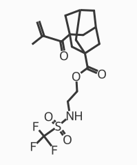 C=C(C)C(=O)C12CC3CC(CC(C(=O)OCCNS(=O)(=O)C(F)(F)F)(C3)C1)C2